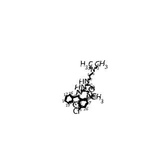 CCN(CC)CCCNC(=S)NC1N=C(c2ccccc2Cl)c2cc(Cl)ccc2N(C)C1=O